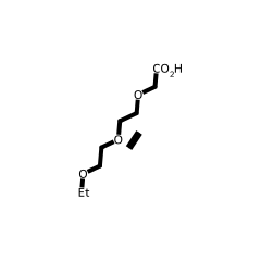 C=C.CCOCCOCCOCC(=O)O